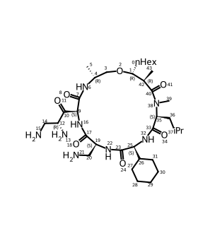 CCCCCC[C@H]1OC[C@@H](C)NC(=O)[C@H](C(=O)[C@H](N)CN)NC(=O)[C@H](CN)NC(=O)[C@H](C2CCCCC2)NC(=O)[C@H](CC(C)C)N(C)C(=O)[C@@H]1C